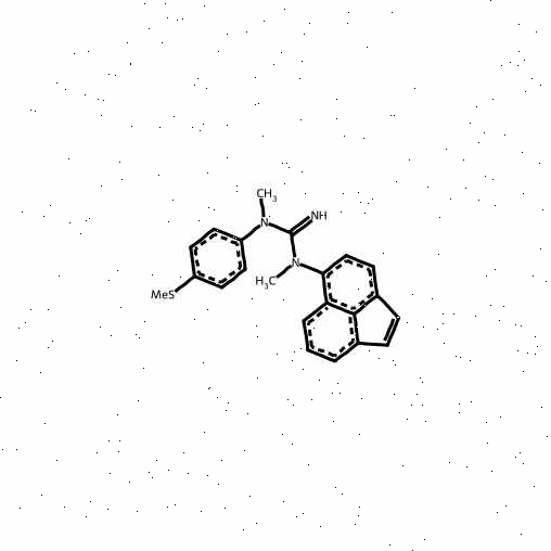 CSc1ccc(N(C)C(=N)N(C)c2ccc3c4c(cccc24)C=C3)cc1